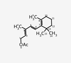 CC(=O)OCC=C(C)C=CC1=C(C)CCCC1(C)C